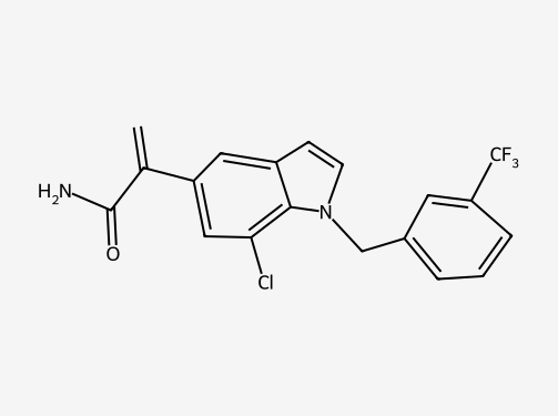 C=C(C(N)=O)c1cc(Cl)c2c(ccn2Cc2cccc(C(F)(F)F)c2)c1